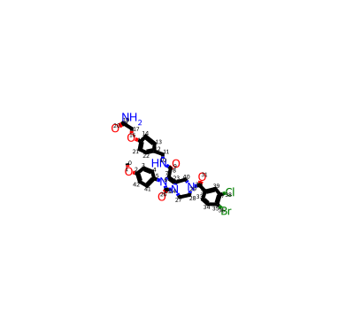 COc1ccc(-n2c(C(=O)NCc3ccc(OCC(N)=O)cc3)c3n(c2=O)CCN(C(=O)c2ccc(Br)c(Cl)c2)C3)cc1